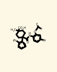 CC(C)c1ccccc1C1(C(=O)Nc2ccc(Br)cc2OC(F)F)CCC(C)(C(=O)O)CC1